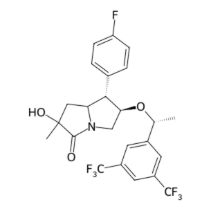 C[C@@H](O[C@H]1CN2C(=O)C(C)(O)CC2[C@@H]1c1ccc(F)cc1)c1cc(C(F)(F)F)cc(C(F)(F)F)c1